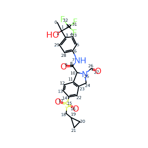 CC(O)(c1ccc(NC(=O)C2c3ccc(S(=O)(=O)CC4CC4)cc3CN2C=O)cc1)C(F)(F)F